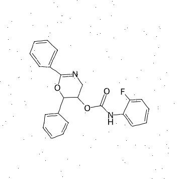 O=C(Nc1ccccc1F)OC1CN=C(c2ccccc2)OC1c1ccccc1